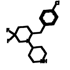 FC1(F)CCC(Cc2ccc(Cl)cc2)N(C2CCNCC2)C1